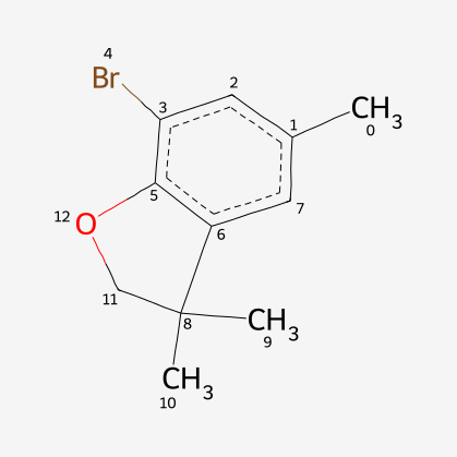 Cc1cc(Br)c2c(c1)C(C)(C)CO2